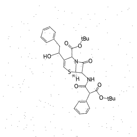 CC(C)(C)OC(=O)C(C(=O)NC1C(=O)N2C(C(=O)OC(C)(C)C)C(C(O)Cc3ccccc3)=CS[C@H]12)c1ccccc1